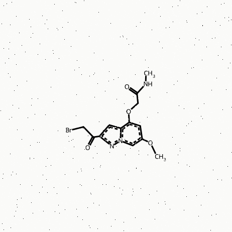 CNC(=O)COc1cc(OC)cn2nc(C(=O)CBr)cc12